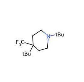 CC(C)(C)N1CCC(C(C)(C)C)(C(F)(F)F)CC1